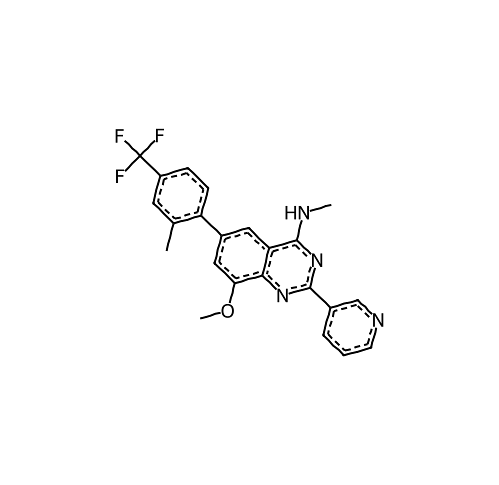 CNc1nc(-c2cccnc2)nc2c(OC)cc(-c3ccc(C(F)(F)F)cc3C)cc12